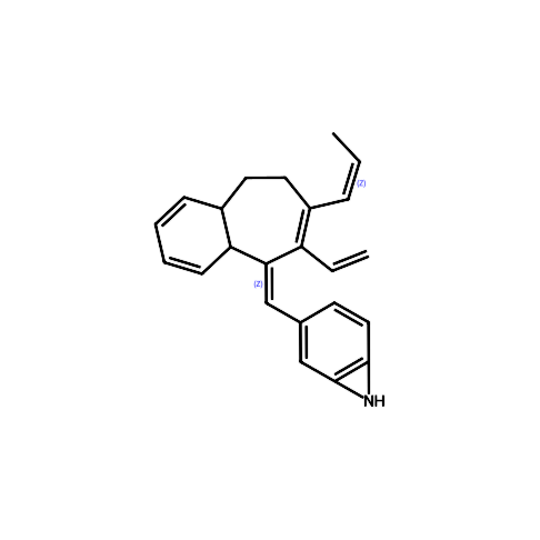 C=CC1=C(/C=C\C)CCC2C=CC=CC2/C1=C/c1ccc2c(c1)N2